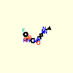 O=C(N1CCC(NS(=O)(=O)c2ccc(F)cc2)CC1)N1CC2(CC(n3cnc(C4CC4)n3)C2)C1